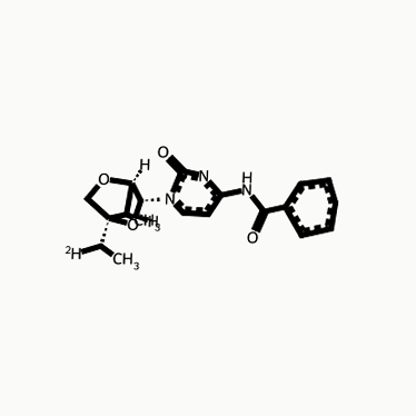 [2H]C(C)[C@@]12CO[C@@H]([C@H](n3ccc(NC(=O)c4ccccc4)nc3=O)O1)[C@@H]2C